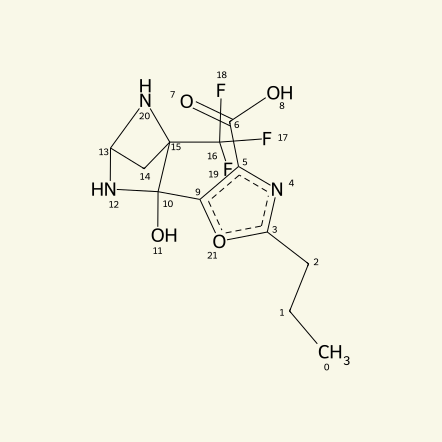 CCCc1nc(C(=O)O)c(C2(O)NC3CC2(C(F)(F)F)N3)o1